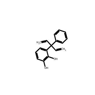 C=CC(C=C)(c1ccccc1)c1cccc(O)c1O